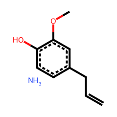 C=CCc1ccc(O)c(OC)c1.N